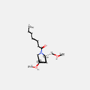 CCCCCCCCCCCCCCCC(=O)N1C[C@H](OC(C)C)C[C@H]1COC(C)C